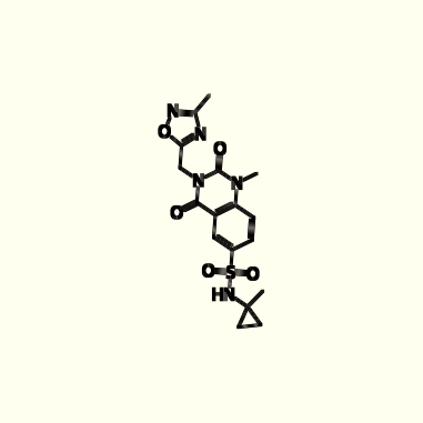 Cc1noc(Cn2c(=O)c3cc(S(=O)(=O)NC4(C)CC4)ccc3n(C)c2=O)n1